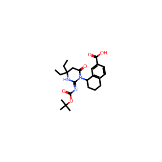 CCC1(CC)CC(=O)N(C2CCCc3ccc(C(=O)O)cc32)/C(=N/C(=O)OC(C)(C)C)N1